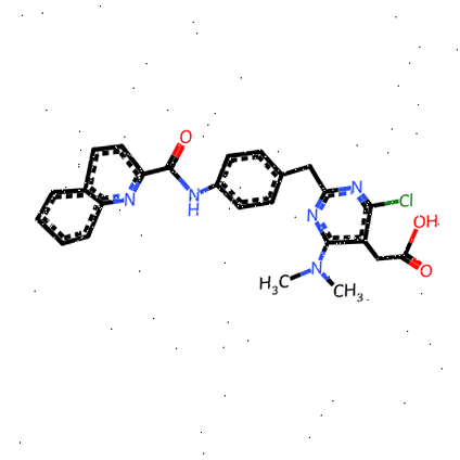 CN(C)c1nc(Cc2ccc(NC(=O)c3ccc4ccccc4n3)cc2)nc(Cl)c1CC(=O)O